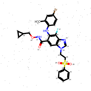 Cc1cc(Br)ccc1Nc1c(C(=O)NOCC2CC2)cc2c(ncn2CCS(=O)(=O)c2ccccc2)c1F